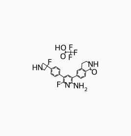 Nc1nc(F)c(-c2ccc(C3(F)CNC3)cc2)cc1-c1ccc2c(c1)CCNC2=O.O=C(O)C(F)(F)F